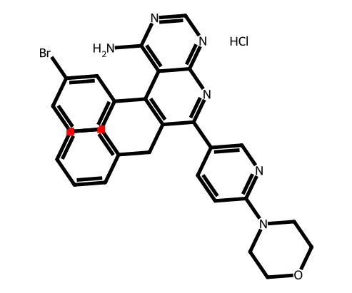 Cl.Nc1ncnc2nc(-c3ccc(N4CCOCC4)nc3)c(Cc3ccccc3)c(-c3cccc(Br)c3)c12